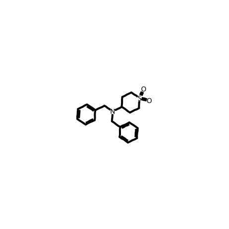 O=S1(=O)CCC(N(Cc2ccccc2)Cc2ccccc2)CC1